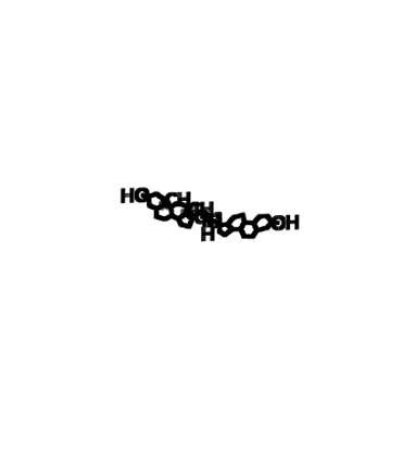 C[C@]12CCC(O)CC1CCC1C2CC[C@]2(C)C(OBOC3CCC4C3CCC3C5CCC(O)CC5CCC34)CCC12